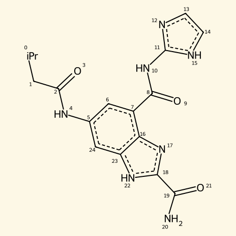 CC(C)CC(=O)Nc1cc(C(=O)Nc2ncc[nH]2)c2nc(C(N)=O)[nH]c2c1